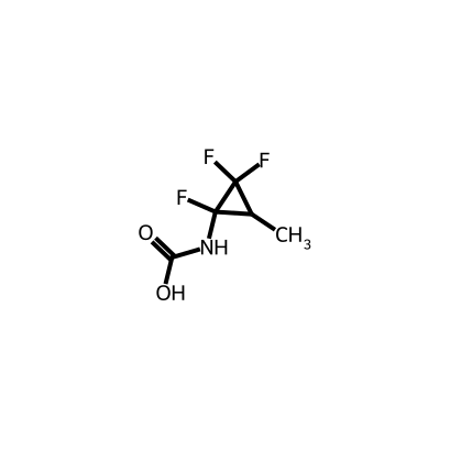 CC1C(F)(F)C1(F)NC(=O)O